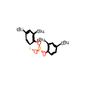 CC(C)(C)c1ccc(OP(OF)Oc2ccc(C(C)(C)C)cc2C(C)(C)C)c(C(C)(C)C)c1